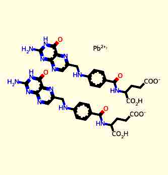 Nc1nc2ncc(CNc3ccc(C(=O)NC(CCC(=O)[O-])C(=O)O)cc3)nc2c(=O)[nH]1.Nc1nc2ncc(CNc3ccc(C(=O)NC(CCC(=O)[O-])C(=O)O)cc3)nc2c(=O)[nH]1.[Pb+2]